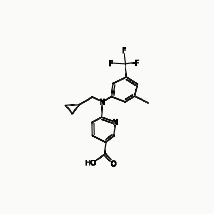 Cc1cc(N(CC2CC2)c2ccc(C(=O)O)cn2)cc(C(F)(F)F)c1